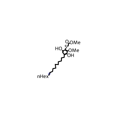 CCCCCC/C=C/CCCCCCCCCc1cc(O)c(SCC(=O)OC)c(OC)c1O